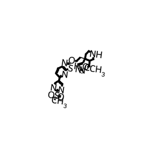 CC(C)C1CNCC[C@@]1(CCOc1nc2ccc(-c3cnc(S(C)(=O)=O)nc3)nc2s1)c1cnno1